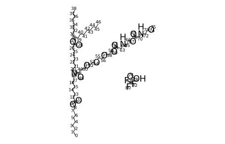 CCCCCCCCCOC(=O)CCCCCCCN(CCCCCCCC(=O)OC(CCCCCCCC)CCCCCCCC)C(=O)CCOCCOCCOCCOC(=O)CNCCOC(=O)CNCCOC.O=C(O)C(F)(F)F